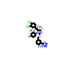 CC(C)(c1ccc(Cl)c(Cl)c1)c1cnc(SCc2ccc(F)c(-c3nnn[nH]3)c2)n1-c1ccc(F)cc1